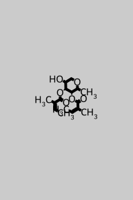 C/C=C(/C)C(=O)O[C@@H]1C(O)COC(C)[C@@H]1OC(=O)/C(C)=C\C